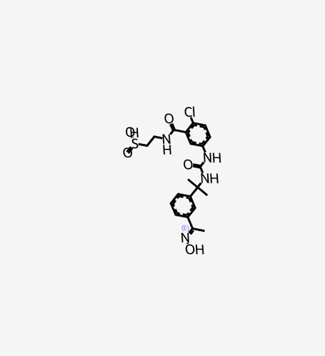 C/C(=N\O)c1cccc(C(C)(C)NC(=O)Nc2ccc(Cl)c(C(=O)NCC[SH](=O)=O)c2)c1